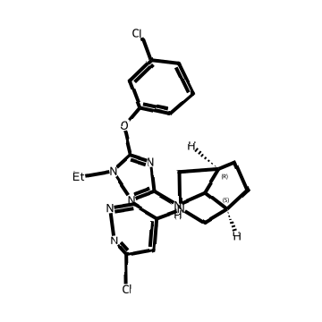 CCn1nc(NC2[C@@H]3CC[C@H]2CN(c2cnnc(Cl)c2)C3)nc1Oc1cccc(Cl)c1